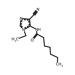 CCCCCCC(=O)Nc1c(C#N)ncn1CC